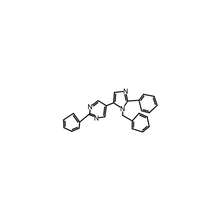 c1ccc(Cn2c(-c3cnc(-c4ccccc4)nc3)cnc2-c2ccccc2)cc1